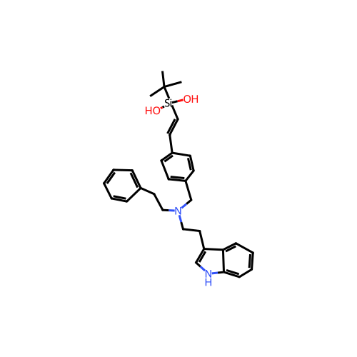 CC(C)(C)[Si](O)(O)C=Cc1ccc(CN(CCc2ccccc2)CCc2c[nH]c3ccccc23)cc1